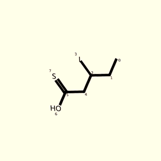 CCC(I)CC(O)=S